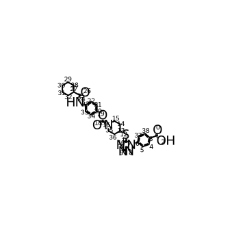 O=C(O)c1ccc(-n2nnnc2SC2CCN(C(=O)Oc3ccc(NC(=O)C4CCCCC4)cc3)CC2)cc1